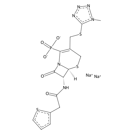 Cn1nnnc1SCC1=C(P(=O)([O-])[O-])N2C(=O)[C@@H](NC(=O)Cc3cccs3)[C@@H]2SC1.[Na+].[Na+]